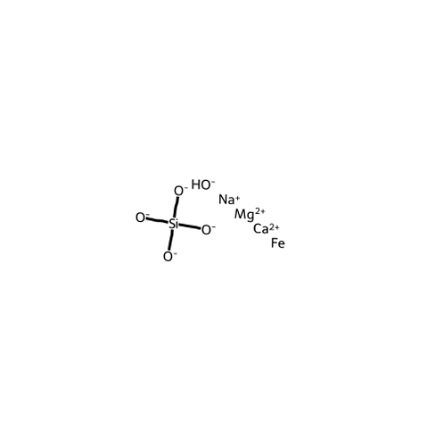 [Ca+2].[Fe].[Mg+2].[Na+].[O-][Si]([O-])([O-])[O-].[OH-]